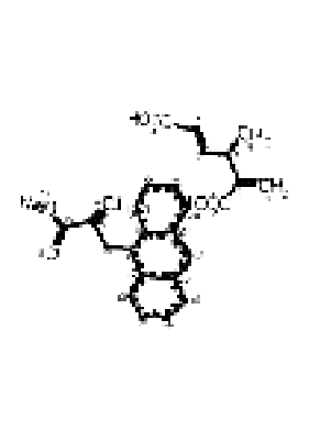 C=C(C(=O)O)C(C)C=CC(=O)O.C=C(Cc1c2ccccc2cc2ccccc12)C(=O)OC